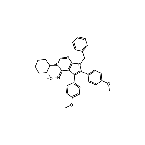 COc1ccc(-c2c(-c3ccc(OC)cc3)n(Cc3ccccc3)c3ncn([C@@H]4CCCC[C@H]4O)c(=N)c23)cc1